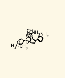 CN1O[C@]2(C[C@H]([C@@H]3CCOC(C)(C)C3)Oc3ccc(-c4cccc(N)c4)cc32)N=C1N